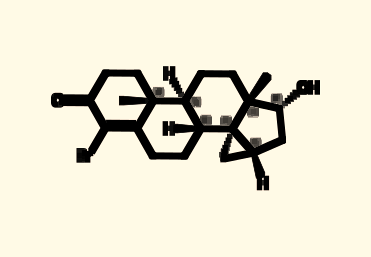 C[C@]12CCC(=O)C(Br)=C1CC[C@@H]1[C@@H]2CC[C@]2(C)[C@H](O)C[C@@H]3C[C@]312